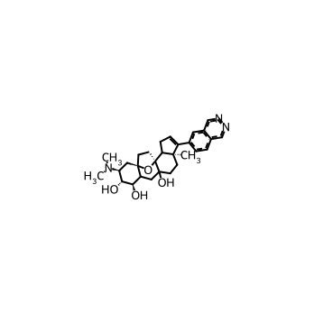 CN(C)[C@H]1C[C@@]23CC[C@]4(O2)C2CC=C(c5ccc6cnncc6c5)[C@@]2(C)CCC4(O)CC3[C@@H](O)[C@@H]1O